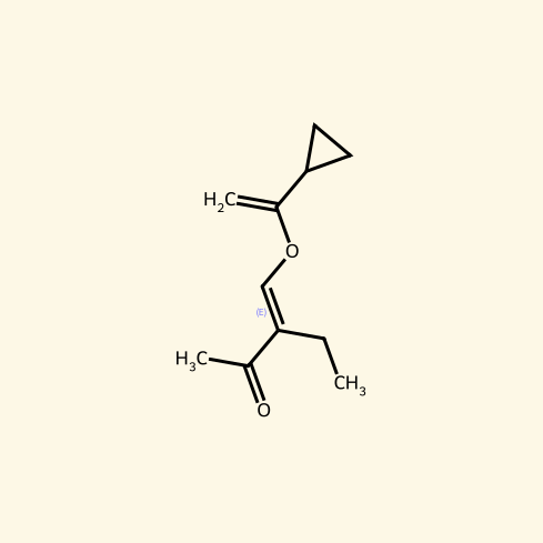 C=C(O/C=C(\CC)C(C)=O)C1CC1